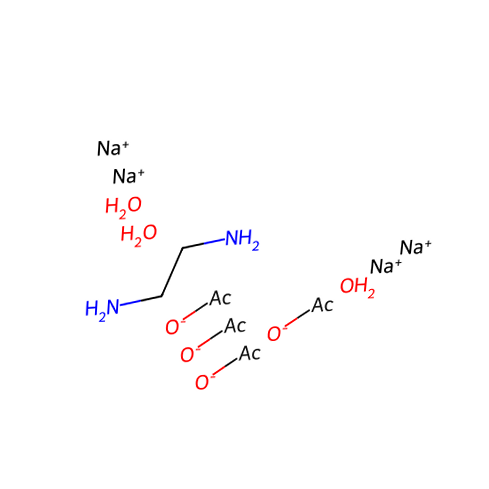 CC(=O)[O-].CC(=O)[O-].CC(=O)[O-].CC(=O)[O-].NCCN.O.O.O.[Na+].[Na+].[Na+].[Na+]